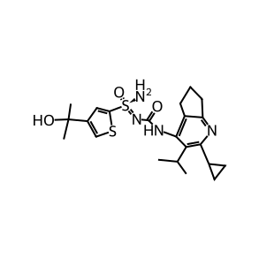 CC(C)c1c(C2CC2)nc2c(c1NC(=O)N=[S@@](N)(=O)c1cc(C(C)(C)O)cs1)CCC2